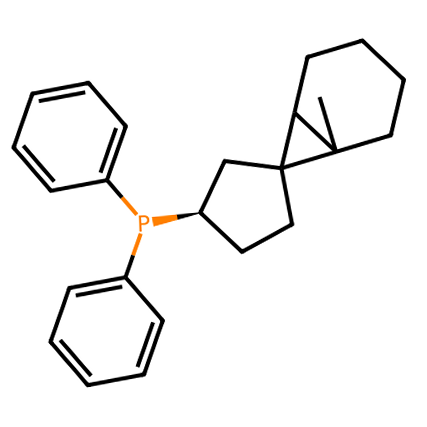 CC12CCCCC1C21CC[C@@H](P(c2ccccc2)c2ccccc2)C1